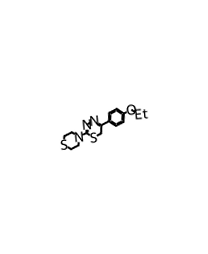 CCOc1ccc(C2=NN=C(N3CCSCC3)SC2)cc1